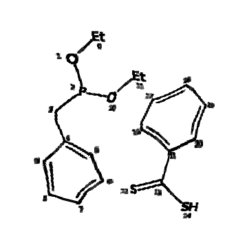 CCOP(Cc1ccccc1)OCC.S=C(S)c1ccccc1